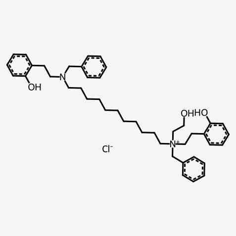 OCC[N+](CCCCCCCCCCCN(CCc1ccccc1O)Cc1ccccc1)(CCc1ccccc1O)Cc1ccccc1.[Cl-]